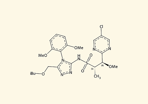 CCC(C)OCc1nnc(NS(=O)(=O)[C@@H](C)[C@H](OC)c2ncc(Cl)cn2)n1-c1c(OC)cccc1OC